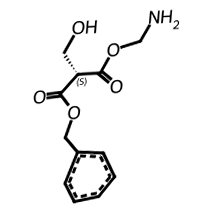 NCOC(=O)[C@@H](CO)C(=O)OCc1ccccc1